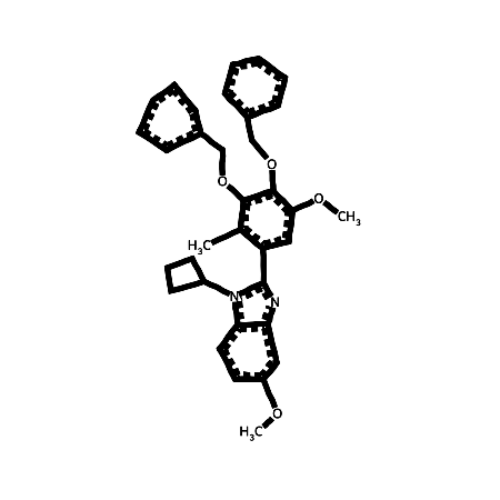 COc1ccc2c(c1)nc(-c1cc(OC)c(OCc3ccccc3)c(OCc3ccccc3)c1C)n2C1CCC1